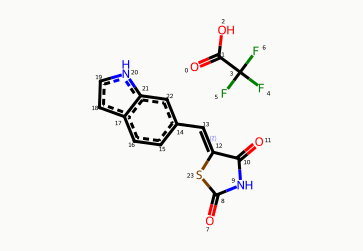 O=C(O)C(F)(F)F.O=C1NC(=O)/C(=C/c2ccc3cc[nH]c3c2)S1